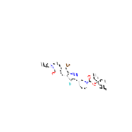 CN(C)C(=O)c1cc(Br)c2[nH]c(C3CCCN(C(=O)OC(C)(C)C)C3)c(F)c2c1